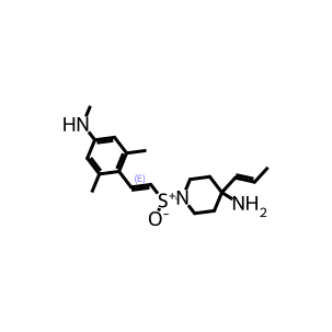 CC=CC1(N)CCN([S+]([O-])/C=C/c2c(C)cc(NC)cc2C)CC1